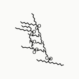 CCCCCCCCC(CCCCCC)C(=O)OCCCN(CCCOC(=O)C(CCCCCC)CCCCCCCC)CCCN(CCCO)CCCN(CCCOC(=O)C(CCCCCC)CCCCCCCC)CCCOC(=O)C(CCCCCC)CCCCCCCC